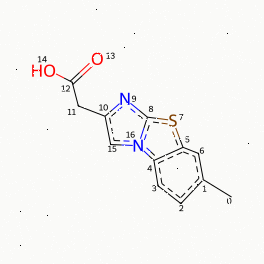 Cc1ccc2c(c1)sc1nc(CC(=O)O)cn12